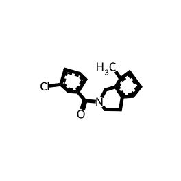 Cc1cccc2c1CN(C(=O)c1cccc(Cl)c1)CC2